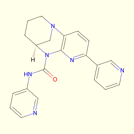 O=C(Nc1cccnc1)N1c2nc(-c3cccnc3)ccc2N2CCC[C@H]1C2